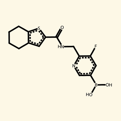 O=C(NCc1ncc(B(O)O)cc1F)c1cc2c(s1)CCCC2